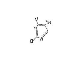 [2H]c1cnc(Cl)nc1Cl